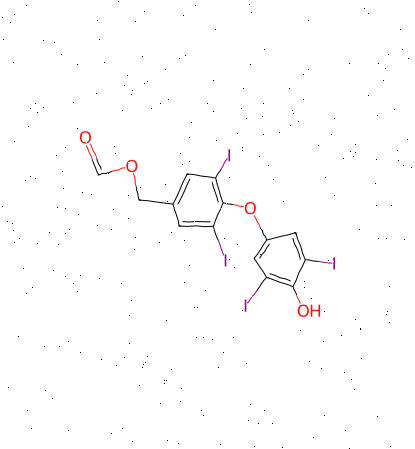 O=COCc1cc(I)c(Oc2cc(I)c(O)c(I)c2)c(I)c1